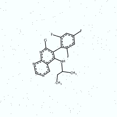 CCC(C)Nc1c(-c2c(F)cc(F)cc2F)c(Cl)nc2ncncc12